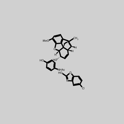 CC(=O)Nc1ccc(O)cc1.COc1ccc2c3c1O[C@H]1[C@@H](O)C=C[C@H]4[C@@H](C2)N(C)CC[C@@]341.Oc1nc2cc(Cl)ccc2o1